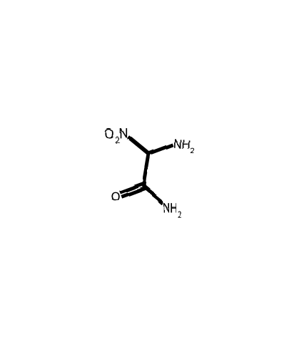 NC(=O)C(N)[N+](=O)[O-]